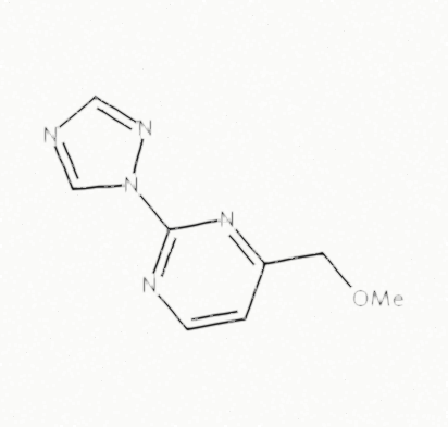 COCc1ccnc(-n2cncn2)n1